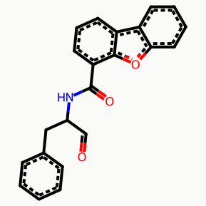 O=CC(Cc1ccccc1)NC(=O)c1cccc2c1oc1ccccc12